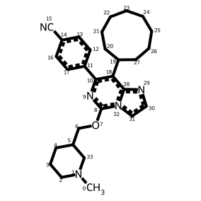 CN1CCCC(COc2nc(-c3ccc(C#N)cc3)c(C3CCCCCCCC3)c3nccn23)C1